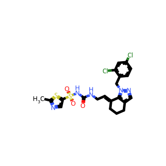 Cc1ncc(S(=O)(=O)NC(=O)NC/C=C2\CCCc3cnn(Cc4ccc(Cl)cc4Cl)c32)s1